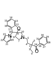 CCC(C)(CCN1CCC2(C1)Oc1ccccc1C2n1cccc1)C(=O)c1ccccc1